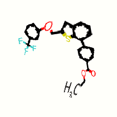 CCOC(=O)c1ccc(-c2cccc3cc(COc4cccc(C(F)(F)F)c4)sc23)cc1